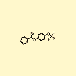 FC(F)(F)Oc1ccc(OC(Br)c2ccccc2)cc1